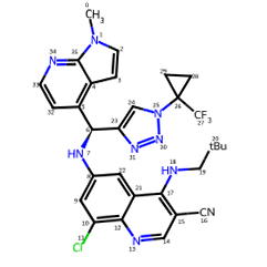 Cn1ccc2c([C@H](Nc3cc(Cl)c4ncc(C#N)c(NCC(C)(C)C)c4c3)c3cn(C4(C(F)(F)F)CC4)nn3)ccnc21